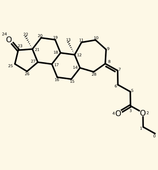 CCOC(=O)CC/C=C1/CCC[C@@]2(C)C(CCC3C2CC[C@]2(C)C(=O)CCC32)C1